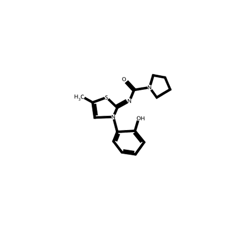 Cc1cn(-c2ccccc2O)c(=NC(=O)N2CCCC2)s1